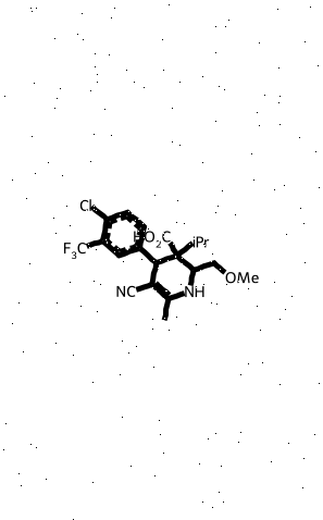 COCC1NC(C)=C(C#N)C(c2ccc(Cl)c(C(F)(F)F)c2)C1(C(=O)O)C(C)C